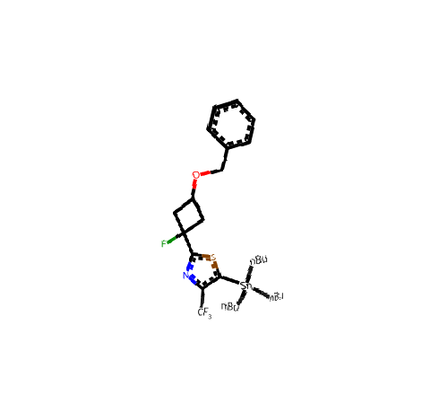 CCC[CH2][Sn]([CH2]CCC)([CH2]CCC)[c]1sc(C2(F)CC(OCc3ccccc3)C2)nc1C(F)(F)F